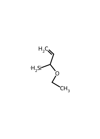 C=CC([SiH2])OCC